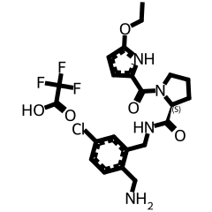 CCOc1ccc(C(=O)N2CCC[C@H]2C(=O)NCc2cc(Cl)ccc2CN)[nH]1.O=C(O)C(F)(F)F